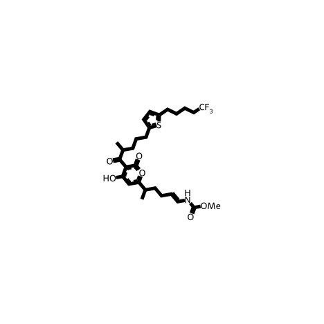 COC(=O)N/C=C/CCC(C)c1cc(O)c(C(=O)C(C)CCCc2ccc(CCCCC(F)(F)F)s2)c(=O)o1